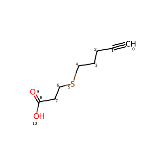 C#CCCCSCCC(=O)O